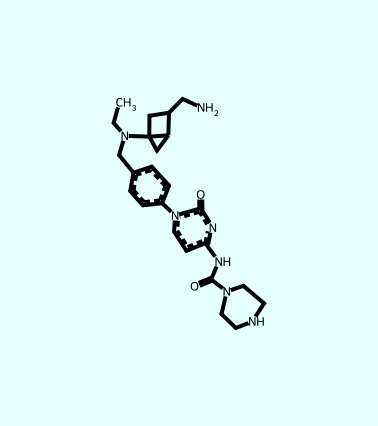 CCN(Cc1ccc(-n2ccc(NC(=O)N3CCNCC3)nc2=O)cc1)C12CC(CN)C1C2